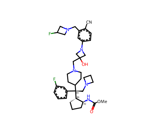 COC(=O)N[C@H]1CCC[C@@H]1[C@](CN1CCC1)(c1cccc(F)c1)C1CCN(CC2(O)CN(c3ccc(C#N)c(CN4CC(F)C4)c3)C2)CC1